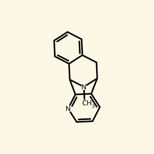 CN1C2Cc3ccccc3C1c1ncccc12